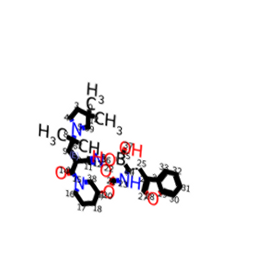 CC1(C)CCN(C(C)(C)/C=C(\C#N)C(=O)N2CCC[C@H](OC(=O)N[C@@H](Cc3coc4ccccc34)B(O)O)C2)C1